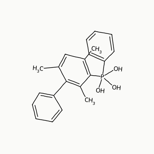 Cc1cc(C)c(P(O)(O)(O)c2ccccc2)c(C)c1-c1ccccc1